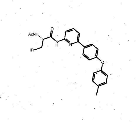 CC(=O)N[C@@H](CC(C)C)C(=O)Nc1cccc(-c2ccc(Oc3ccc(F)cc3)cc2)n1